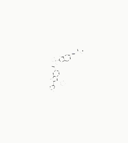 Cn1cc(-c2c(C3CCCC3)c3ccc(C(=O)NC4(c5nc6ccc(/C=C/C(=O)N=O)cc6n5C)CCC4)cc3n2C)cn1